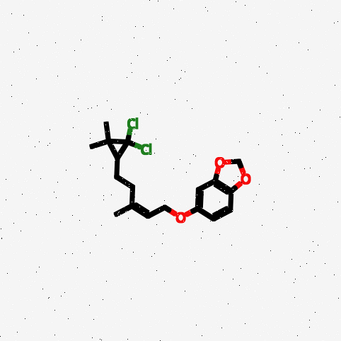 CC(=CCOc1ccc2c(c1)OCO2)CCC1C(C)(C)C1(Cl)Cl